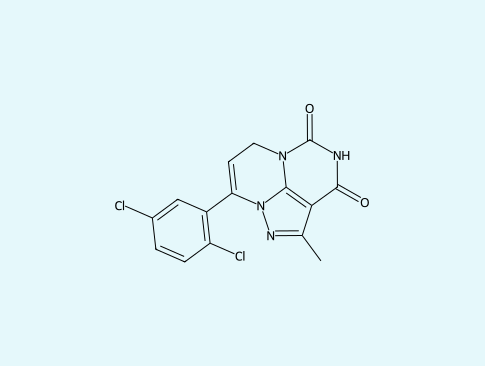 Cc1nn2c3c1c(=O)[nH]c(=O)n3CC=C2c1cc(Cl)ccc1Cl